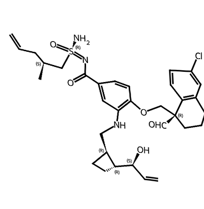 C=CC[C@H](C)C[S@](N)(=O)=NC(=O)c1ccc(OC[C@@]2(C=O)CCCc3cc(Cl)ccc32)c(NC[C@@H]2CC[C@H]2[C@@H](O)C=C)c1